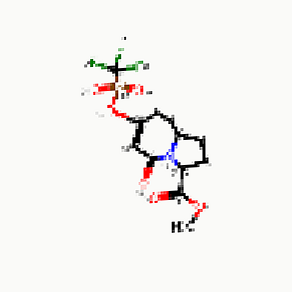 COC(=O)[C@@H]1CCC2CCC(OS(=O)(=O)C(F)(F)F)=CC(=O)N21